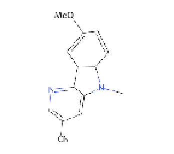 COc1ccc2c(c1)c1ncc(C#N)cc1n2C